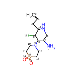 C=CCC1NCC(N)C(N2CCS(=O)(=O)CC2)C1F